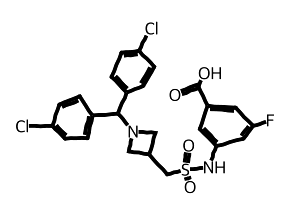 O=C(O)c1cc(F)cc(NS(=O)(=O)CC2CN(C(c3ccc(Cl)cc3)c3ccc(Cl)cc3)C2)c1